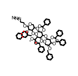 COC(=O)C1O[C@@H](O[C@@H]2CO[C@@H](OCCN=[N+]=[N-])C(OCc3ccccc3)C2OCc2ccccc2)C(OC(=O)c2ccccc2)C(O[C@H]2OC[C@@H](OCc3ccccc3)C(OCc3ccccc3)C2OC(=O)c2ccccc2)[C@@H]1OC(=O)c1ccccc1